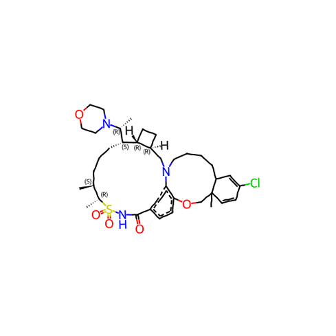 C[C@H]([C@H]1CCC[C@H](C)[C@@H](C)S(=O)(=O)NC(=O)c2ccc3c(c2)N(CCCCC2C=C(Cl)C=CC2(C)CO3)C[C@@H]2CC[C@H]21)N1CCOCC1